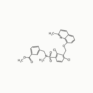 COC(=O)c1cccc(CN(C)S(=O)(=O)c2ccc(Cl)c(COc3cccc4ccc(C)nc34)c2Cl)c1